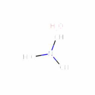 CN(C)C.[3OH2]